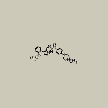 COc1ccccc1-c1ccn2nc(Nc3ccc(N4CCN(C)CC4)cc3)ncc12